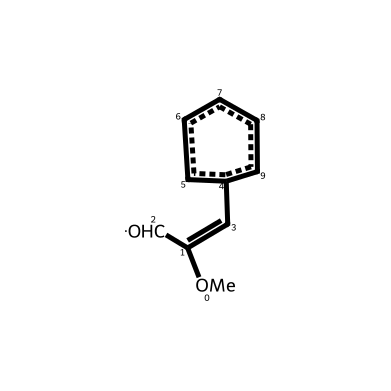 CO/C([C]=O)=C/c1ccccc1